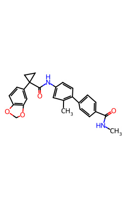 CNC(=O)c1ccc(-c2ccc(NC(=O)C3(c4ccc5c(c4)OCO5)CC3)cc2C)cc1